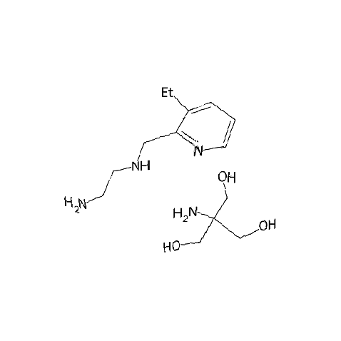 CCc1cccnc1CNCCN.NC(CO)(CO)CO